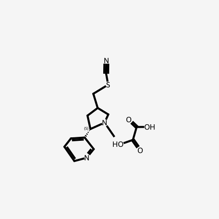 CN1CC(CSC#N)C[C@H]1c1cccnc1.O=C(O)C(=O)O